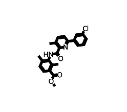 COC(=O)c1ccc(C)c(NC(=O)c2nc(-c3cccc(Cl)c3)ccc2C)c1C